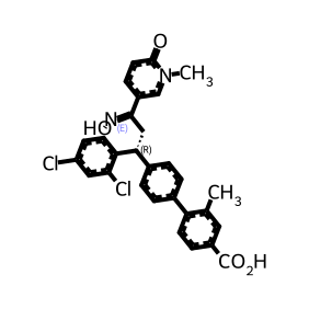 Cc1cc(C(=O)O)ccc1-c1ccc([C@@H](C/C(=N\O)c2ccc(=O)n(C)c2)c2ccc(Cl)cc2Cl)cc1